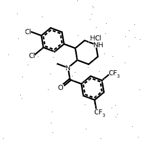 CN(C(=O)c1cc(C(F)(F)F)cc(C(F)(F)F)c1)C1CCNCC1c1ccc(Cl)c(Cl)c1.Cl